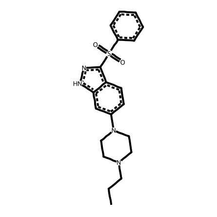 CCCN1CCN(c2ccc3c(S(=O)(=O)c4ccccc4)n[nH]c3c2)CC1